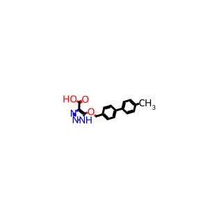 Cc1ccc(-c2ccc(COc3[nH]nnc3C(=O)O)cc2)cc1